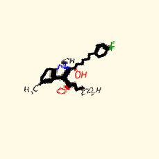 Cc1ccc2c(c1)c(C(=O)CCCC(=O)O)c(C(O)CCCCCc1ccc(F)cc1)n2C